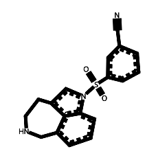 N#Cc1cccc(S(=O)(=O)n2cc3c4c(cccc42)CNCC3)c1